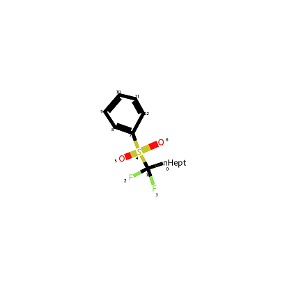 CCCCCCCC(F)(F)S(=O)(=O)c1ccccc1